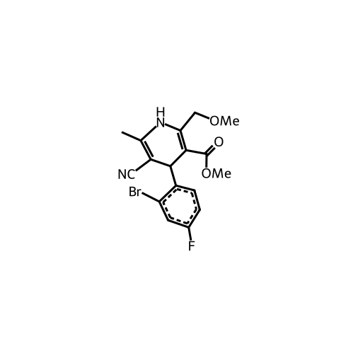 COCC1=C(C(=O)OC)C(c2ccc(F)cc2Br)C(C#N)=C(C)N1